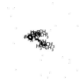 CC(C)(C)OC(=O)NCCCN(C(=O)OC(C)(C)C)c1ccc(F)cc1O